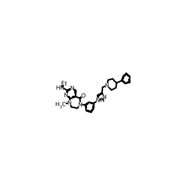 CCNc1ncc2c(n1)N(C)CCN(c1cccc(-n3cc(CN4CCC(c5ccccc5)CC4)nn3)c1)C2=O